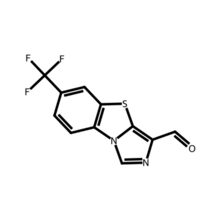 O=Cc1ncn2c1sc1cc(C(F)(F)F)ccc12